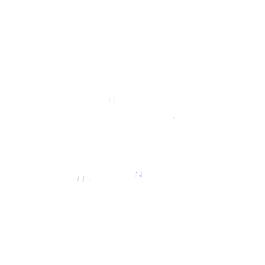 CC1=NCC(C(C)(C)C)S1